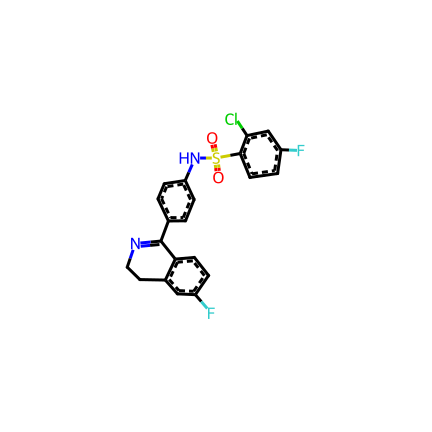 O=S(=O)(Nc1ccc(C2=NCCc3cc(F)ccc32)cc1)c1ccc(F)cc1Cl